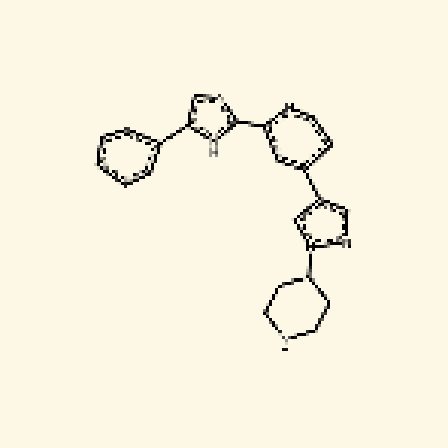 c1ccc(-c2cnc(-c3cc(-c4cnn(C5CCNCC5)c4)ccn3)[nH]2)cc1